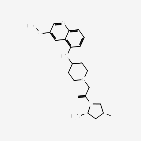 COc1cnc2cccc(NC3CCN(CC(=O)N4C[C@@H](F)C[C@H]4N)CC3)c2c1